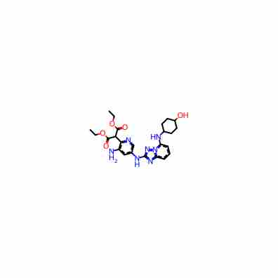 CCOC(=O)C(C(=O)OCC)c1ncc(Nc2nc3cccc(NC4CCC(O)CC4)n3n2)cc1N